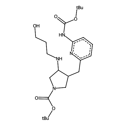 CC(C)(C)OC(=O)Nc1cccc(CC2CN(C(=O)OC(C)(C)C)CC2NCCCO)n1